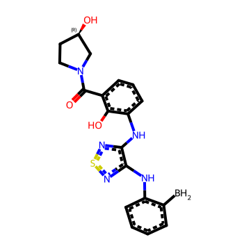 Bc1ccccc1Nc1nsnc1Nc1cccc(C(=O)N2CC[C@@H](O)C2)c1O